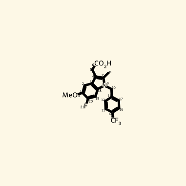 COc1cc2c(CC(=O)O)c(C)n(Cc3ccc(C(F)(F)F)cc3)c2cc1F